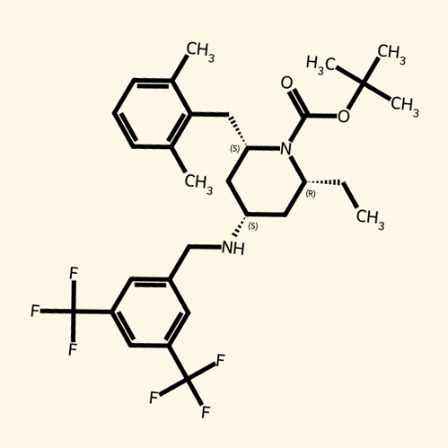 CC[C@@H]1C[C@H](NCc2cc(C(F)(F)F)cc(C(F)(F)F)c2)C[C@H](Cc2c(C)cccc2C)N1C(=O)OC(C)(C)C